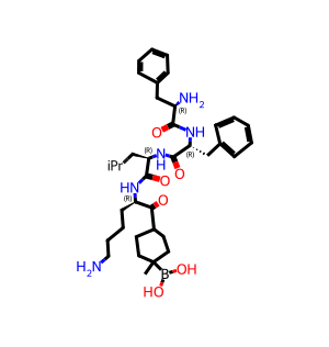 CC(C)C[C@@H](NC(=O)[C@@H](Cc1ccccc1)NC(=O)[C@H](N)Cc1ccccc1)C(=O)N[C@H](CCCCN)C(=O)C1CCC(C)(B(O)O)CC1